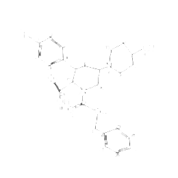 CC1CCN(C2CC(c3ccc(F)cc3)C(C(=O)O)N(C(=O)OCc3ccccc3)C2)CC1